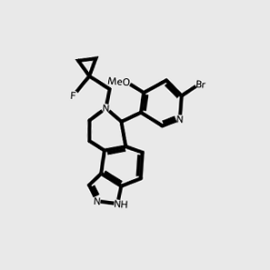 COc1cc(Br)ncc1C1c2ccc3[nH]ncc3c2CCN1CC1(F)CC1